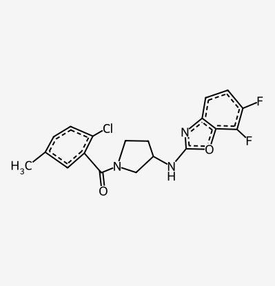 Cc1ccc(Cl)c(C(=O)N2CCC(Nc3nc4ccc(F)c(F)c4o3)C2)c1